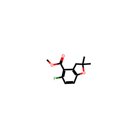 COC(=O)c1c(F)ccc2c1CC(C)(C)O2